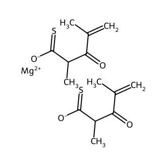 C=C(C)C(=O)C(C)C([O-])=S.C=C(C)C(=O)C(C)C([O-])=S.[Mg+2]